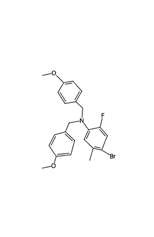 COc1ccc(CN(Cc2ccc(OC)cc2)c2cc(C)c(Br)cc2F)cc1